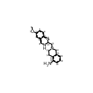 COc1ccc2c(c1)=CNC(CN1CCc3c(N)cccc3C1)N=2